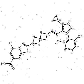 O=C(O)c1cc(F)c2nc(N3CC4(CC(/C=C/c5c(-c6c(Cl)cncc6Cl)noc5C5CC5)C4)C3)sc2c1